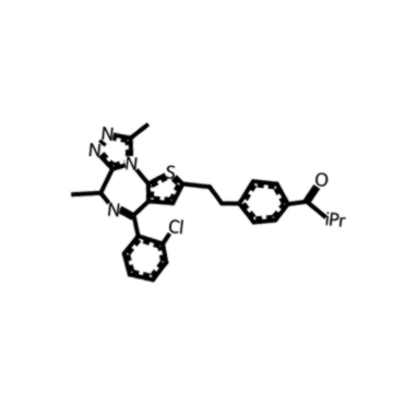 Cc1nnc2n1-c1sc(CCc3ccc(C(=O)C(C)C)cc3)cc1C(c1ccccc1Cl)=NC2C